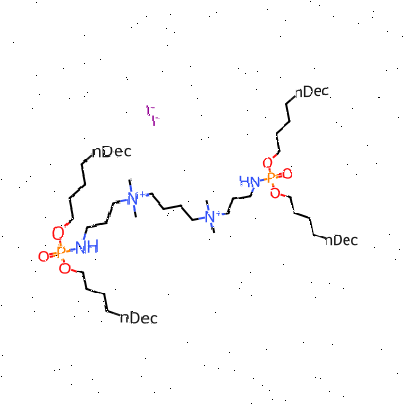 CCCCCCCCCCCCCCOP(=O)(NCCC[N+](C)(C)CCCC[N+](C)(C)CCCNP(=O)(OCCCCCCCCCCCCCC)OCCCCCCCCCCCCCC)OCCCCCCCCCCCCCC.[I-].[I-]